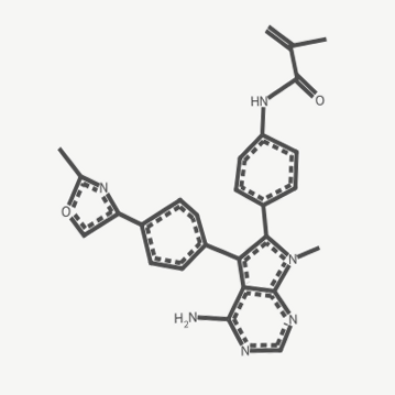 C=C(C)C(=O)Nc1ccc(-c2c(-c3ccc(-c4coc(C)n4)cc3)c3c(N)ncnc3n2C)cc1